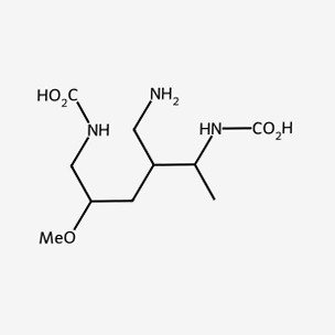 COC(CNC(=O)O)CC(CN)C(C)NC(=O)O